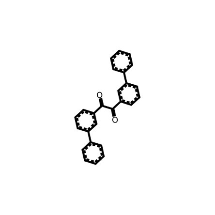 O=C(C(=O)c1cccc(-c2ccccc2)c1)c1cccc(-c2ccccc2)c1